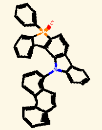 O=P1(c2ccccc2)c2ccccc2-c2c1ccc1c3ccccc3n(-c3cccc4c3ccc3ccccc34)c21